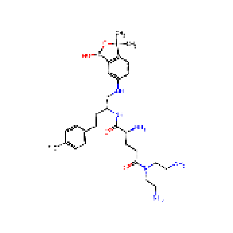 CC1(C)OB(O)c2cc(NC[C@@H](CCc3ccc(C(F)(F)F)cc3)NC(=O)[C@@H](N)CCC(=O)N(CCN)CCN)ccc21